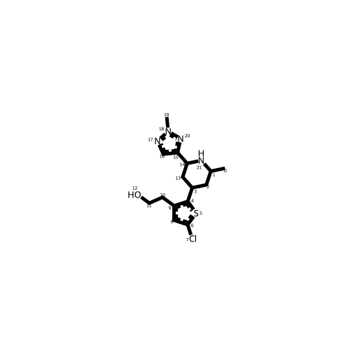 CC1CC(c2sc(Cl)cc2CCO)CC(c2cnn(C)n2)N1